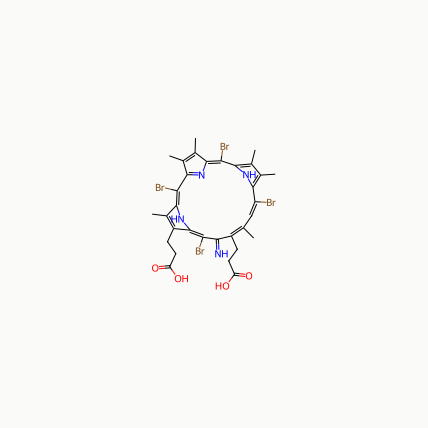 CC1=C(C)c2nc1c(Br)c1[nH]c(c(Br)cc(C)c(CCC(=O)O)c(=N)c(Br)c3[nH]c(c(C)c3CCC(=O)O)c2Br)c(C)c1C